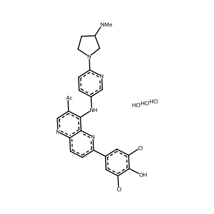 CNC1CCN(c2ccc(Nc3c(C(C)=O)cnc4ccc(-c5cc(Cl)c(O)c(Cl)c5)nc34)cn2)C1.Cl.Cl.Cl